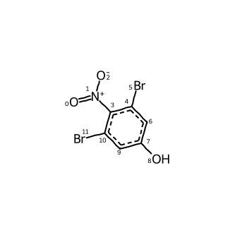 O=[N+]([O-])c1c(Br)cc(O)cc1Br